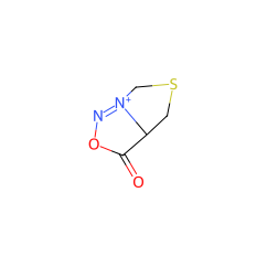 O=C1ON=[N+]2CSCC12